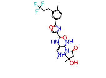 CN/C=C(/NC(=O)c1coc(-c2ccc(C)c(CCC(F)(F)F)c2)n1)C(=N)N1CC(C)(O)CC1=O